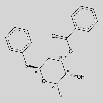 C[C@@H]1O[C@@H](Sc2ccccc2)C[C@H](OC(=O)c2ccccc2)[C@@H]1O